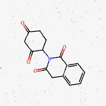 O=C1CCC(N2C(=O)Cc3ccccc3C2=O)C(=O)C1